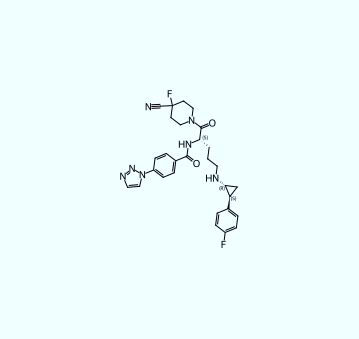 N#CC1(F)CCN(C(=O)[C@H](CCCN[C@@H]2C[C@H]2c2ccc(F)cc2)NC(=O)c2ccc(-n3ccnn3)cc2)CC1